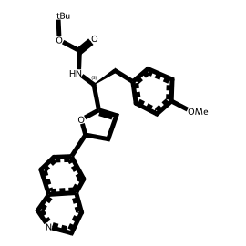 COc1ccc(C[C@H](NC(=O)OC(C)(C)C)C2=CCC(c3ccc4cnccc4c3)O2)cc1